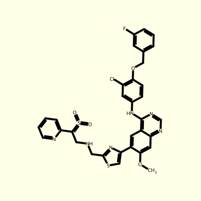 COc1cc2ncnc(Nc3ccc(OCc4cccc(F)c4)c(Cl)c3)c2cc1-c1csc(CNCC(c2ccccn2)=S(=O)=O)n1